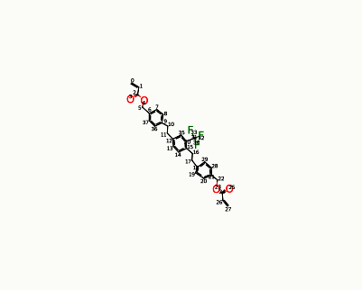 C=CC(=O)OCc1ccc(CCc2ccc(CCc3ccc(COC(=O)C=C)cc3)c(C(F)(F)F)c2)cc1